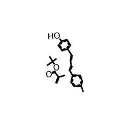 C=C(C)C(=O)OC(C)(C)C.Cc1ccc(C=CC=Cc2ccc(O)cc2)cc1